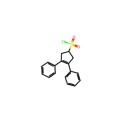 O=S(=O)(Cl)C1CC(c2ccccc2)=C(c2ccccc2)C1